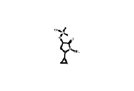 CC(C)(C)[Si](C)(C)OC1CC(C2CC2)N(N)C1=O